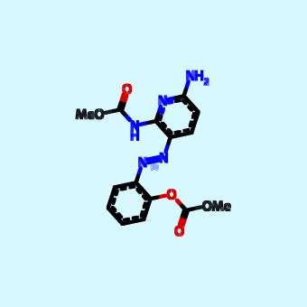 COC(=O)Nc1nc(N)ccc1/N=N/c1ccccc1OC(=O)OC